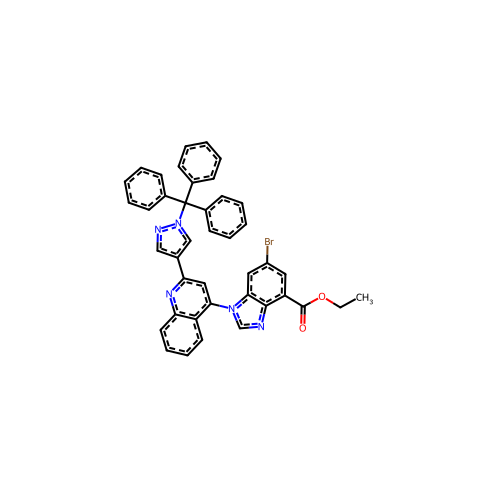 CCOC(=O)c1cc(Br)cc2c1ncn2-c1cc(-c2cnn(C(c3ccccc3)(c3ccccc3)c3ccccc3)c2)nc2ccccc12